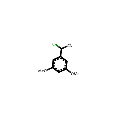 COc1cc(OC)cc(C(Cl)C#N)c1